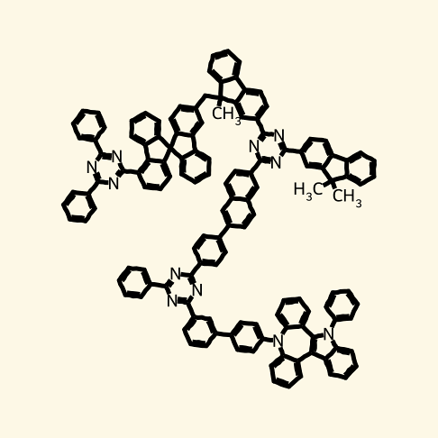 CC1(C)c2ccccc2-c2ccc(-c3nc(-c4ccc5c(c4)C(C)(Cc4ccc6c(c4)-c4ccccc4C64c6ccccc6-c6c(-c7nc(-c8ccccc8)nc(-c8ccccc8)n7)cccc64)c4ccccc4-5)nc(-c4ccc5cc(-c6ccc(-c7nc(-c8ccccc8)nc(-c8cccc(-c9ccc(N%10c%11ccccc%11-c%11c(n(-c%12ccccc%12)c%12ccccc%11%12)-c%11ccccc%11%10)cc9)c8)n7)cc6)ccc5c4)n3)cc21